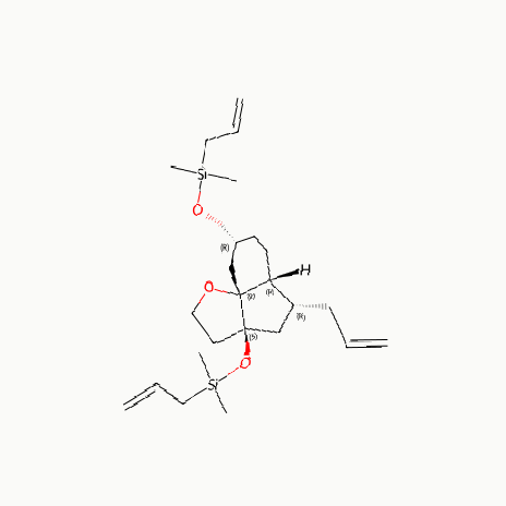 C=CC[C@@H]1C[C@]2(O[Si](C)(C)CC=C)CCO[C@@]23C[C@H](O[Si](C)(C)CC=C)CC[C@H]13